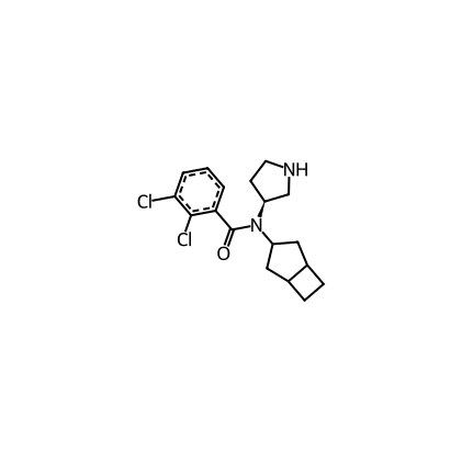 O=C(c1cccc(Cl)c1Cl)N(C1CC2CCC2C1)[C@H]1CCNC1